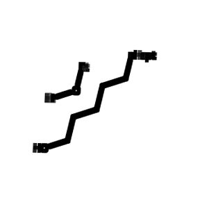 CCCCCCCCCCCCO.CCOCC